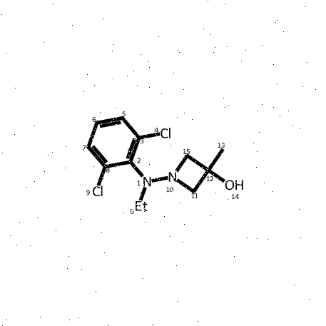 CCN(c1c(Cl)cccc1Cl)N1CC(C)(O)C1